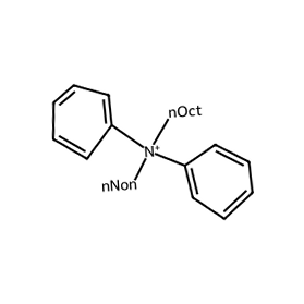 CCCCCCCCC[N+](CCCCCCCC)(c1ccccc1)c1ccccc1